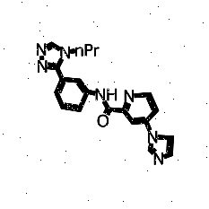 CCCn1cnnc1-c1cccc(NC(=O)c2cc(-n3ccnc3)ccn2)c1